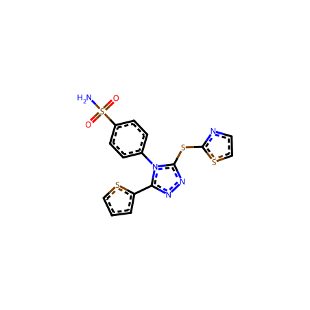 NS(=O)(=O)c1ccc(-n2c(Sc3nccs3)nnc2-c2cccs2)cc1